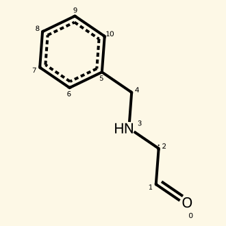 O=C[CH]NCc1ccccc1